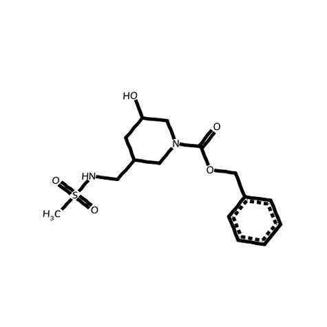 CS(=O)(=O)NCC1CC(O)CN(C(=O)OCc2ccccc2)C1